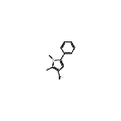 Cc1c(C(C)C)cc(-c2ccccc2)n1C